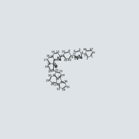 c1ccc(-c2ccc(-c3ccc(-c4ccc5ccc6ccc(-c7ccc8c9c(cccc79)-c7ccccc7-8)nc6c5n4)cc3)nn2)cc1